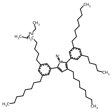 CCCCCCCCC1=C(c2cc(CCCCC)cc(CCCCCCCC)c2)[N+](=[N-])C(c2cc(CCCCC)cc(CCCCCCCC)c2)=C1.C[CH2][Pd][CH2]C